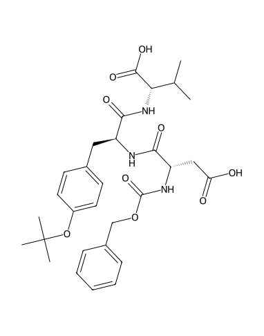 CC(C)[C@H](NC(=O)[C@H](Cc1ccc(OC(C)(C)C)cc1)NC(=O)[C@H](CC(=O)O)NC(=O)OCc1ccccc1)C(=O)O